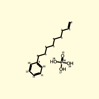 C=CCCCCCCCc1ccccc1.O=P(O)(O)O